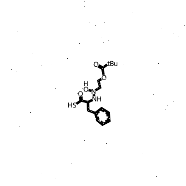 CC(C)(C)C(=O)OCCN(O)NC(Cc1ccccc1)C(=O)S